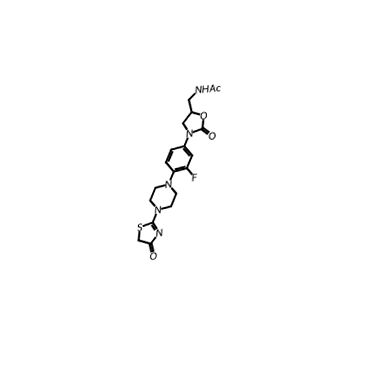 CC(=O)NCC1CN(c2ccc(N3CCN(C4=NC(=O)CS4)CC3)c(F)c2)C(=O)O1